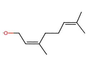 CC(C)=CCC/C(C)=C\C[O]